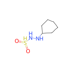 O=[SH](=O)NNC1CCCCC1